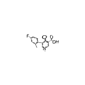 Cc1cc(F)ccc1-c1cn(C)cc(C(=O)O)c1=O